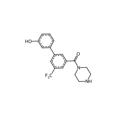 O=C(c1cc(-c2cccc(O)c2)cc(C(F)(F)F)c1)N1CCNCC1